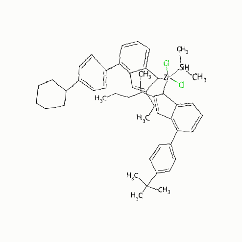 CCCC(C)C1=Cc2c(-c3ccc(C(C)(C)C)cc3)cccc2[CH]1[Zr]([Cl])([Cl])([CH]1C(CC)=Cc2c(-c3ccc(C4CCCCC4)cc3)cccc21)[SiH](C)C